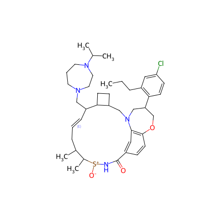 CCCc1cc(Cl)ccc1C1COc2ccc3cc2N(C1)CC1CCC1C(CN1CCCN(C(C)C)CC1)/C=C/CC(C)C(C)[S+]([O-])NC3=O